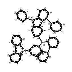 c1ccc(-c2ccccc2N(c2cccc(-n3c4ccccc4c4ccccc43)c2)c2ccc3c(c2)c2c(-c4ccccc4)cccc2n3-c2ccccc2)cc1